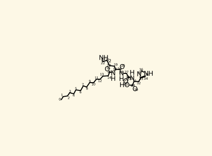 CCCCCCCCCCCCCCCC(=O)NC(CCCCN)C(=O)NCC(=O)NC(Cc1c[nH]cn1)C(=O)O